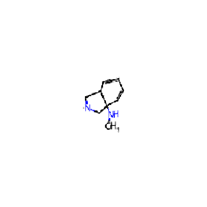 CNC12C=CC=CC1C[N]C2